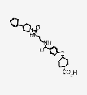 O=C(NCCNC(=O)N1CCC(c2ccccc2)CC1)c1ccc(O[C@H]2CC[C@@H](C(=O)O)CC2)cc1